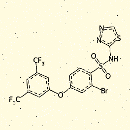 O=S(=O)(Nc1nncs1)c1ccc(Oc2cc(C(F)(F)F)cc(C(F)(F)F)c2)cc1Br